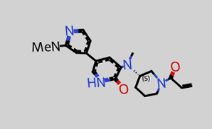 C=CC(=O)N1CCC[C@H](N(C)c2cc(-c3ccnc(NC)c3)c[nH]c2=O)C1